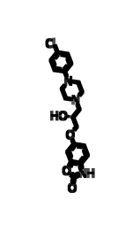 O=c1[nH]c2ccc(OC[C@H](O)CN3CCN(c4ccc(Cl)cc4)CC3)cc2o1